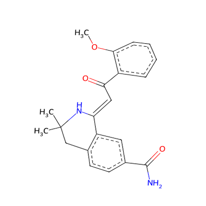 COc1ccccc1C(=O)C=C1NC(C)(C)Cc2ccc(C(N)=O)cc21